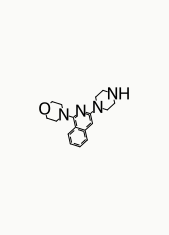 c1ccc2c(N3CCOCC3)nc(N3CCNCC3)cc2c1